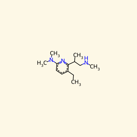 CCc1ccc(N(C)C)nc1C(C)CNC